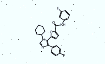 O=C(Nc1cccc(F)c1)c1ccc(-c2c(-c3ccc(F)cc3)ncn2C2CCCCC2)o1